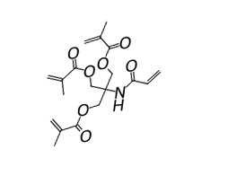 C=CC(=O)NC(COC(=O)C(=C)C)(COC(=O)C(=C)C)COC(=O)C(=C)C